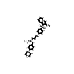 CC(C)c1cn2ccccc2c1S(=O)(=O)c1ccc(OCCCN(C)Cc2ccc(N3CCOCC3)cc2)cc1